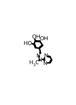 CN(N=Cc1cc(O)c(O)c(O)c1)c1ncccn1